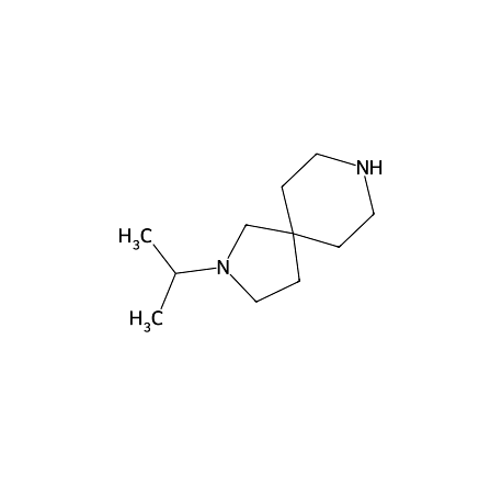 CC(C)N1CCC2(CCNCC2)C1